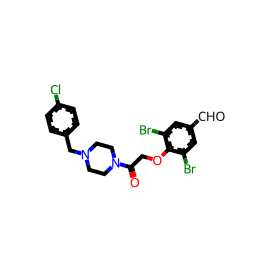 O=Cc1cc(Br)c(OCC(=O)N2CCN(Cc3ccc(Cl)cc3)CC2)c(Br)c1